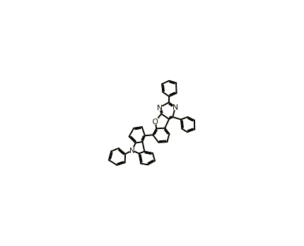 c1ccc(-c2nc(-c3ccccc3)c3c(n2)oc2c(-c4cccc5c4c4ccccc4n5-c4ccccc4)cccc23)cc1